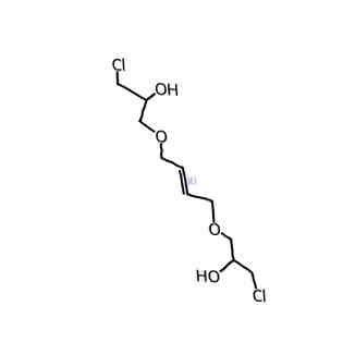 OC(CCl)COC/C=C/COCC(O)CCl